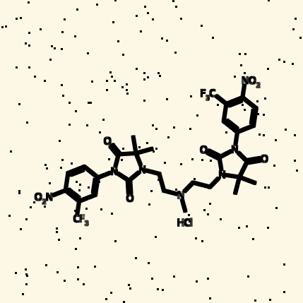 CN(CCN1C(=O)N(c2ccc([N+](=O)[O-])c(C(F)(F)F)c2)C(=O)C1(C)C)CCN1C(=O)N(c2ccc([N+](=O)[O-])c(C(F)(F)F)c2)C(=O)C1(C)C.Cl